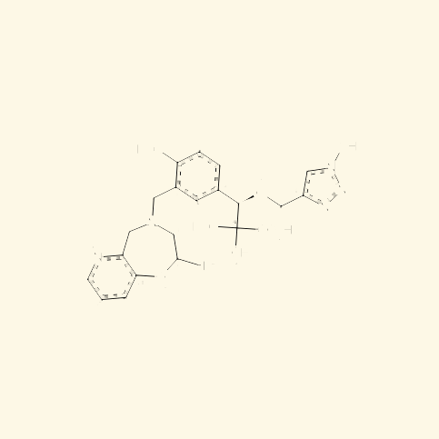 Cc1ccc([C@@H](OCc2cn(C)nn2)C(C)(C)C(=O)O)cc1CN1Cc2ncccc2OC(C(C)C)C1